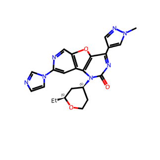 CC[C@H]1C[C@@H](n2c(=O)nc(-c3cnn(C)c3)c3oc4cnc(-n5ccnc5)cc4c32)CCO1